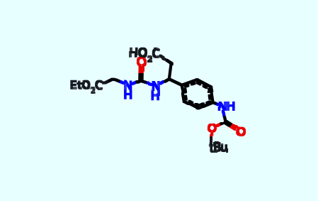 CCOC(=O)CNC(=O)NC(CC(=O)O)c1ccc(NC(=O)OC(C)(C)C)cc1